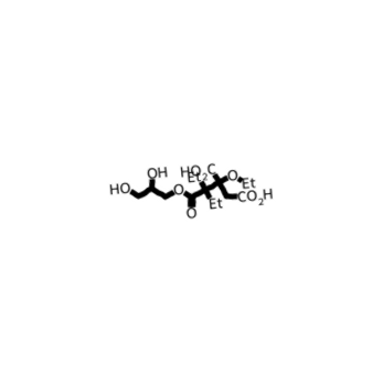 CCOC(CC(=O)O)(C(=O)O)C(CC)(CC)C(=O)OCC(O)CO